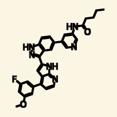 CCCCC(=O)Nc1cncc(-c2ccc3[nH]nc(-c4cc5c(-c6cc(F)cc(OC)c6)ccnc5[nH]4)c3c2)c1